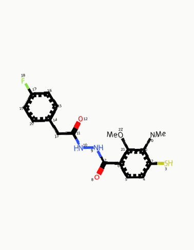 CNc1c(S)ccc(C(=O)NNC(=O)Cc2ccc(F)cc2)c1OC